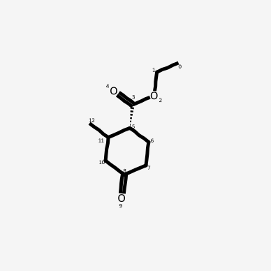 CCOC(=O)[C@@H]1CCC(=O)CC1C